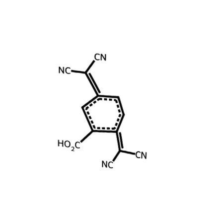 N#CC(C#N)=c1ccc(=C(C#N)C#N)c(C(=O)O)c1